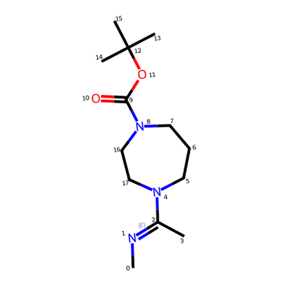 C/N=C(\C)N1CCCN(C(=O)OC(C)(C)C)CC1